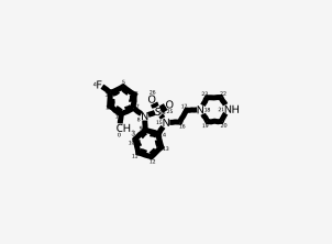 Cc1cc(F)ccc1N1c2ccccc2N(CCN2CCNCC2)S1(=O)=O